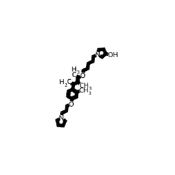 C=C(/C(C)=C(\C)OCCCCCN1CCC(O)C1)c1ccc(OCCCN2CCCC2)cc1C